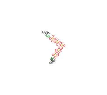 O=S(=O)([O-])[O-].O=S(=O)([O-])[O-].O=S(=O)([O-])[O-].O=S(=O)([O-])[O-].O=S(=O)([O-])[O-].[Cl-].[Cl-].[Cl-].[Cl-].[Cl-].[Fe+2].[Fe+2].[Fe+2].[Fe+3].[Fe+3].[Fe+3]